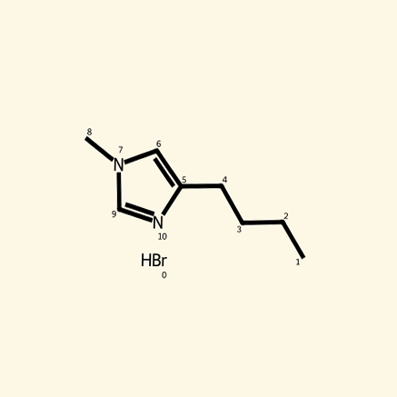 Br.CCCCc1cn(C)cn1